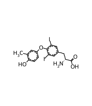 Cc1cc(Oc2c(I)cc(C[C@@H](N)C(=O)O)cc2I)ccc1O